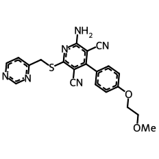 COCCOc1ccc(-c2c(C#N)c(N)nc(SCc3ccncn3)c2C#N)cc1